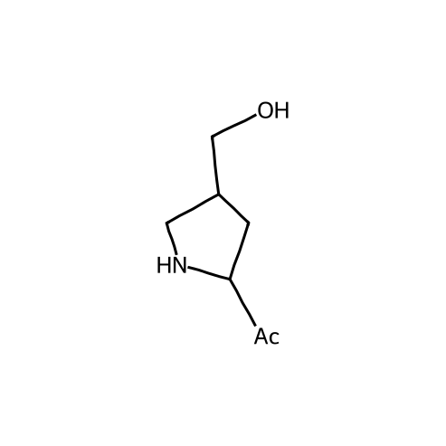 CC(=O)C1CC(CO)CN1